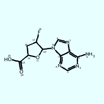 Nc1ncnc2c1ncn2C1OC(C(=O)O)CC1F